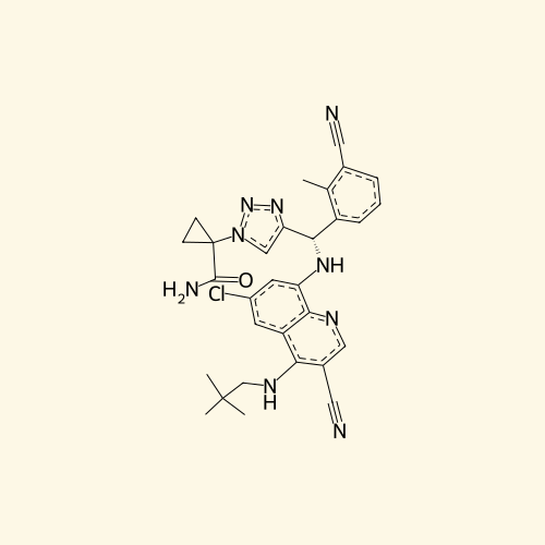 Cc1c(C#N)cccc1[C@H](Nc1cc(Cl)cc2c(NCC(C)(C)C)c(C#N)cnc12)c1cn(C2(C(N)=O)CC2)nn1